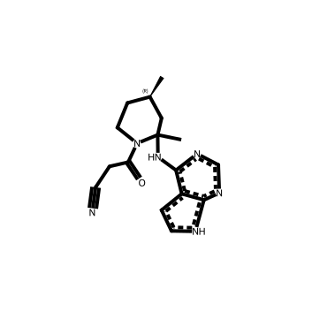 C[C@@H]1CCN(C(=O)CC#N)C(C)(Nc2ncnc3[nH]ccc23)C1